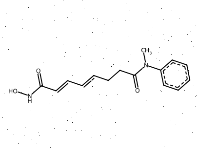 CN(C(=O)CC/C=C/C=C/C(=O)NO)c1ccccc1